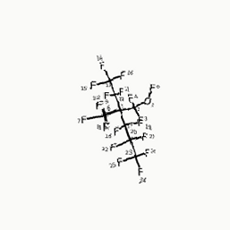 FOC(F)(F)C(C(F)(F)F)(C(F)(F)C(F)(F)F)C(F)(F)C(F)(F)C(F)(F)F